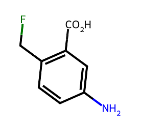 Nc1ccc(CF)c(C(=O)O)c1